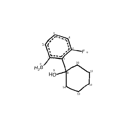 Bc1cccc(F)c1C1(O)CCCCC1